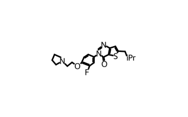 CC(C)Cc1cc2ncn(-c3ccc(OCCN4CCCC4)c(F)c3)c(=O)c2s1